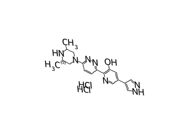 CC1CN(c2ccc(-c3ncc(-c4cn[nH]c4)cc3O)nn2)C[C@H](C)N1.Cl.Cl